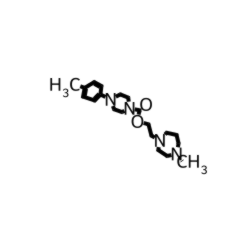 Cc1ccc(N2CCN(C(=O)OCCN3CCCN(C)CC3)CC2)cc1